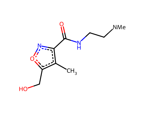 CNCCNC(=O)c1noc(CO)c1C